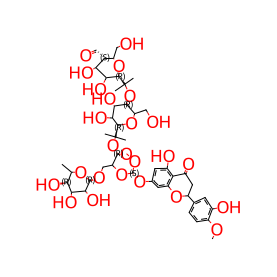 COc1ccc(C2CC(=O)c3c(O)cc(O[C@H]4OO[C@@H](OC(C)(C)[C@@H]5OC(CO)[C@H](OC(C)(C)[C@@H]6OC(CO)[C@@H](C=O)C(O)C6O)C(O)C5O)C(CO[C@@H]5OC(C)[C@H](O)C(O)C5O)O4)cc3O2)cc1O